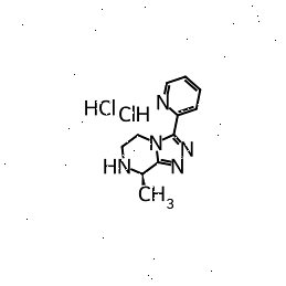 C[C@H]1NCCn2c(-c3ccccn3)nnc21.Cl.Cl